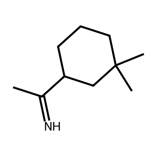 CC(=N)C1CCCC(C)(C)C1